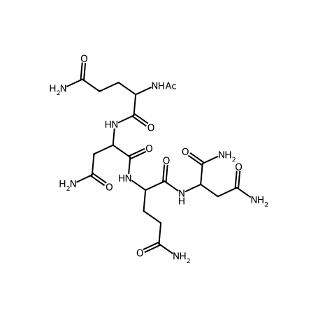 CC(=O)NC(CCC(N)=O)C(=O)NC(CC(N)=O)C(=O)NC(CCC(N)=O)C(=O)NC(CC(N)=O)C(N)=O